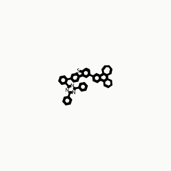 c1c(-c2ccc3c4c(c5c(c3c2)C=CCC=C5)CCC=C4)cc2c(c#1)sc1cc(-c3ccccc3-c3nc(-c4ccccc4)nc(-c4ccccc4)n3)ccc12